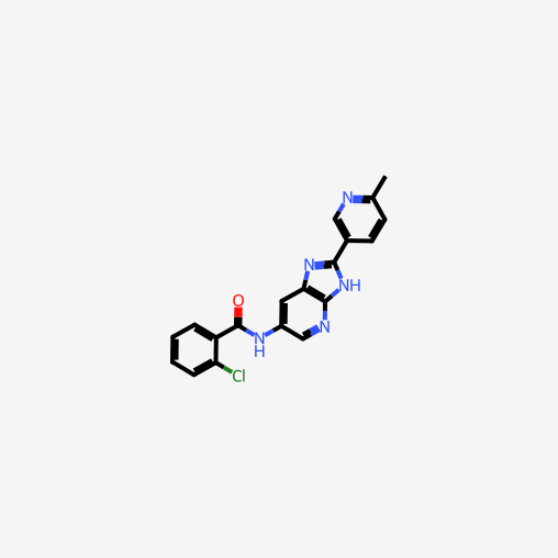 Cc1ccc(-c2nc3cc(NC(=O)c4ccccc4Cl)cnc3[nH]2)cn1